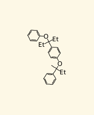 CCC(C)(Oc1ccc(C(CC)(CC)Oc2ccccc2)cc1)c1ccccc1